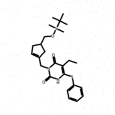 CCc1c(Sc2ccccc2)[nH]c(=O)n(CC2=CCC(CO[Si](C)(C)C(C)(C)C)C2)c1=O